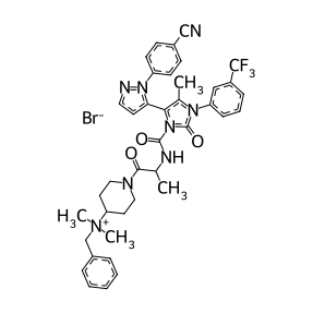 Cc1c(-c2ccnn2-c2ccc(C#N)cc2)n(C(=O)NC(C)C(=O)N2CCC([N+](C)(C)Cc3ccccc3)CC2)c(=O)n1-c1cccc(C(F)(F)F)c1.[Br-]